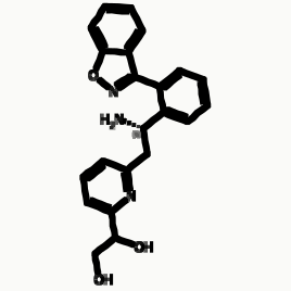 N[C@@H](Cc1cccc(C(O)CO)n1)c1ccccc1-c1noc2ccccc12